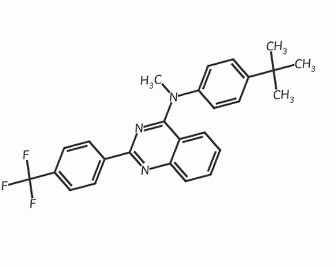 CN(c1ccc(C(C)(C)C)cc1)c1nc(-c2ccc(C(F)(F)F)cc2)nc2ccccc12